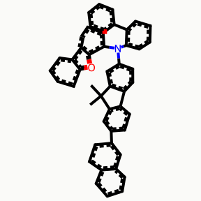 CC1(C)c2cc(-c3ccc4ccccc4c3)ccc2-c2ccc(N(c3ccccc3-c3ccccc3)c3cccc4c3oc3ccccc34)cc21